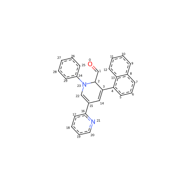 O=CC1C(c2cccc3ccccc23)=CC(c2ccccn2)=CN1c1ccccc1